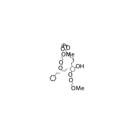 COCCOCO[C@@H](CCc1ccccc1)CC[C@@H]1[C@@H](C/C=C\CCCC(=O)OC(C)C)[C@@H](O)C[C@H]1OCOCCOC